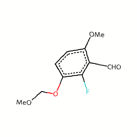 COCOc1ccc(OC)c(C=O)c1F